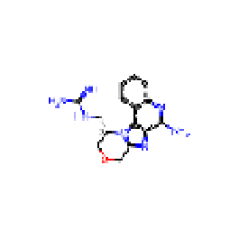 N=C(N)NC[C@H]1COCc2nc3c(N)nc4ccccc4c3n21